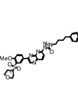 COc1ccc(-c2cnc3ccc(NC(=O)NCCCCc4ccccc4)nc3n2)cc1S(=O)(=O)N1CCOCC1